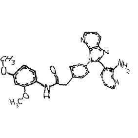 COc1ccc(NC(=O)Cc2ccc(-n3c(-c4cccnc4N)nc4cccnc43)cc2)c(OC)c1